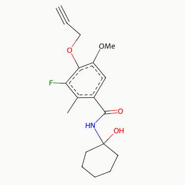 C#CCOc1c(OC)cc(C(=O)NC2(O)CCCCC2)c(C)c1F